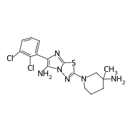 CC1(N)CCCN(c2nn3c(N)c(-c4cccc(Cl)c4Cl)nc3s2)C1